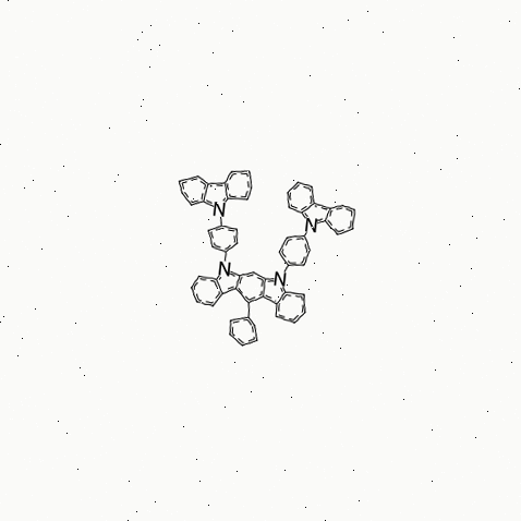 c1ccc(-c2c3c4ccccc4n(-c4ccc(-n5c6ccccc6c6ccccc65)cc4)c3cc3c2c2ccccc2n3-c2ccc(-n3c4ccccc4c4ccccc43)cc2)cc1